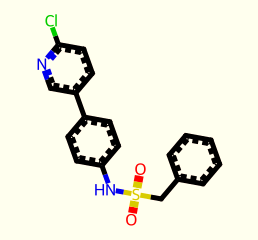 O=S(=O)(Cc1ccccc1)Nc1ccc(-c2ccc(Cl)nc2)cc1